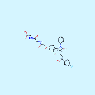 O=C(O)CNC(=O)CNC(=O)COc1ccc([C@@H]2[C@@H](CC[C@H](O)c3ccc(F)cc3)C(=O)N2c2ccccc2)c(O)c1